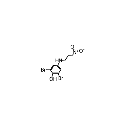 O=[N+]([O-])C=CCNc1cc(Br)c(O)c(Br)c1